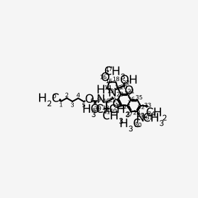 C=CCCCCOC(=O)N[C@H](C(=O)N1CC(OC)CC1(C(=O)O)c1ccc2cc(N(C)C)c(C=C)cc2c1)C(C)(C)C